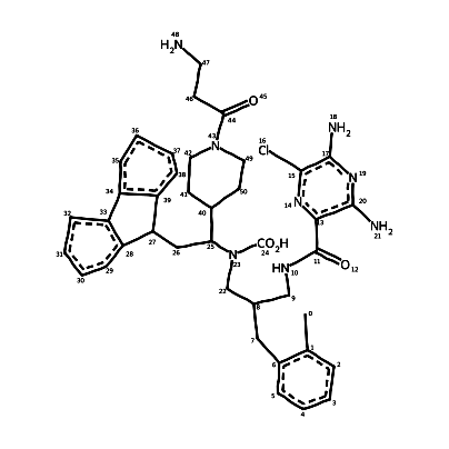 Cc1ccccc1CC(CNC(=O)c1nc(Cl)c(N)nc1N)CN(C(=O)O)C(CC1c2ccccc2-c2ccccc21)C1CCN(C(=O)CCN)CC1